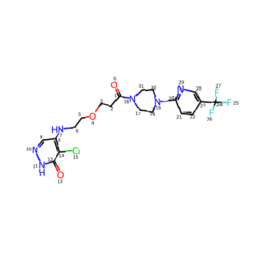 O=C(CCOCCNc1cn[nH]c(=O)c1Cl)N1CCN(c2ccc(C(F)(F)F)cn2)CC1